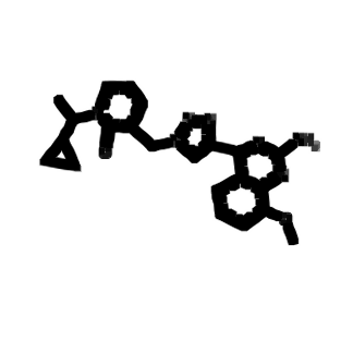 COc1cccc2c(-c3cn(Cc4cccn(C(C)C5CC5)c4=O)nn3)nc(N)nc12